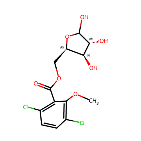 COc1c(Cl)ccc(Cl)c1C(=O)OC[C@H]1OC(O)[C@H](O)[C@H]1O